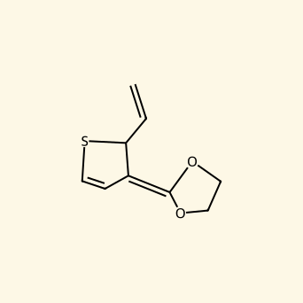 C=CC1SC=CC1=C1OCCO1